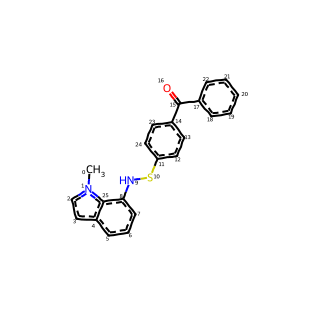 Cn1ccc2cccc(NSc3ccc(C(=O)c4ccccc4)cc3)c21